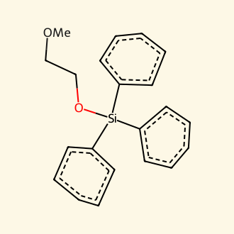 COCCO[Si](c1ccccc1)(c1ccccc1)c1ccccc1